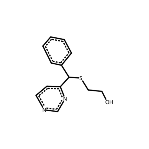 OCCSC(c1ccccc1)c1ccncn1